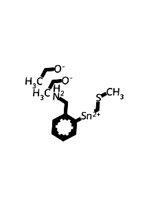 CC[O-].CC[O-].CS[CH2][Sn+2][c]1ccccc1CN